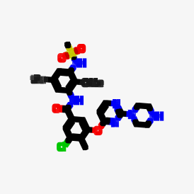 COc1c(NC(=O)c2cc(Cl)c(C)c(Oc3ccnc(N4CCNCC4)n3)c2)cc(C(C)(C)C)cc1NS(C)(=O)=O